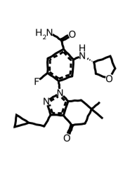 CC1(C)CC(=O)c2c(CC3CC3)nn(-c3cc(N[C@@H]4CCOC4)c(C(N)=O)cc3F)c2C1